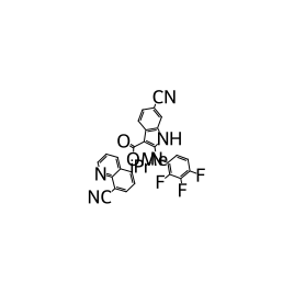 COC(=O)c1c(N(c2ccc(F)c(F)c2F)C(C)C)[nH]c2cc(C#N)ccc12.N#Cc1cccc2cccnc12